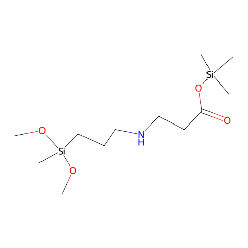 CO[Si](C)(CCCNCCC(=O)O[Si](C)(C)C)OC